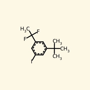 CC(C)(C)c1cc(I)cc(C(C)(F)F)c1